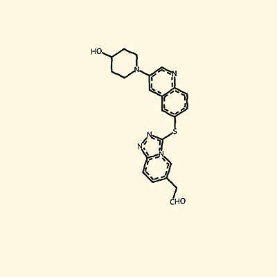 O=CCc1ccc2nnc(Sc3ccc4ncc(N5CCC(O)CC5)cc4c3)n2c1